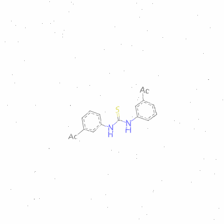 CC(=O)c1cccc(NC(=S)Nc2cccc(C(C)=O)c2)c1